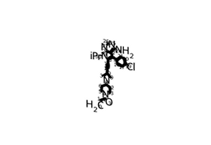 C=CC(=O)N1CCC(N2CC(C#Cc3c(-c4ccc(Cl)cc4)c4c(N)ncnc4n3C(C)C)C2)CC1